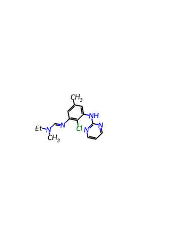 CCN(C)C=Nc1cc(C)cc(Nc2ncccn2)c1Cl